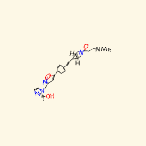 CNCCC(=O)N1C[C@@H]2C(C#Cc3ccc(-c4cc(Cn5ccnc5[C@H](C)O)no4)cc3)[C@@H]2C1